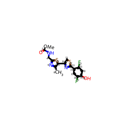 COC(=O)NCc1nc(C)c(-c2csc(-c3cc(F)c(O)cc3F)n2)s1